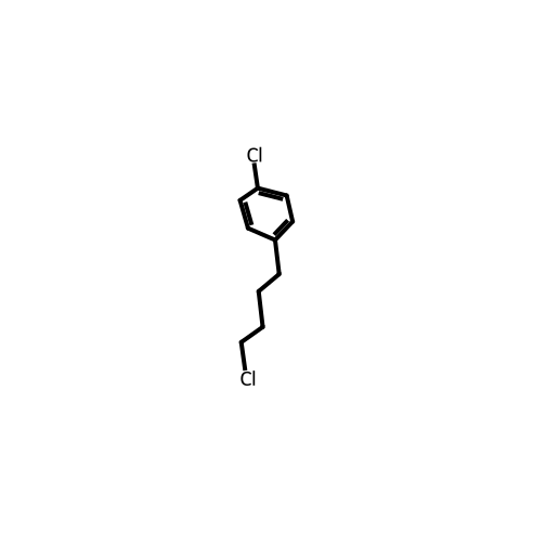 ClCCCCc1ccc(Cl)cc1